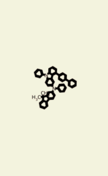 CC1(C)c2ccccc2-c2ccc(N(c3ccccc3)c3ccc4c(c3)c3c(-c5ccc(-c6ccccc6)cc5)cccc3n4-c3ccccc3)cc21